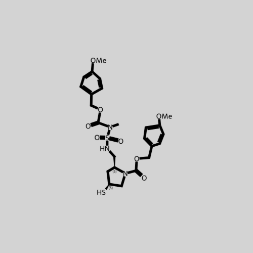 COc1ccc(COC(=O)N2C[C@@H](S)C[C@H]2CNS(=O)(=O)N(C)C(=O)OCc2ccc(OC)cc2)cc1